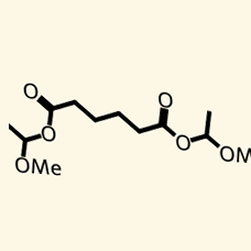 COC(C)OC(=O)CCCCC(=O)OC(C)OC